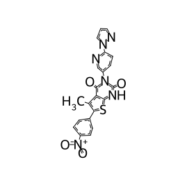 Cc1c(-c2ccc([N+](=O)[O-])cc2)sc2[nH]c(=O)n(-c3ccc(-n4cccn4)nc3)c(=O)c12